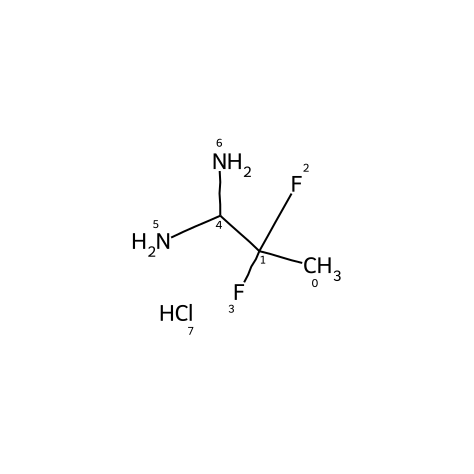 CC(F)(F)C(N)N.Cl